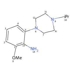 COc1cccc(N2CCN(C(C)C)CC2)c1N